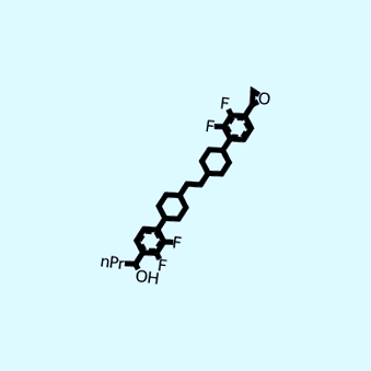 CCCC(O)c1ccc(C2CCC(CCC3CCC(c4ccc(C5CO5)c(F)c4F)CC3)CC2)c(F)c1F